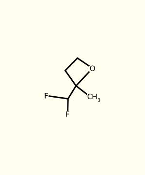 CC1(C(F)F)CCO1